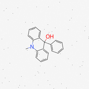 CN1c2ccccc2C(O)(c2ccccc2)c2ccccc21